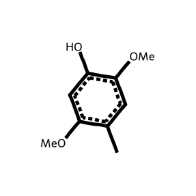 COc1cc(O)c(OC)cc1C